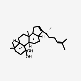 CC(C)=CCC[C@@H](C)C1=CC[C@@]2(C)[C@H]1CC[C@H]1[C@]3(C)[C@@H](CC[C@@]12C)C(C)(C)CCC3(O)O